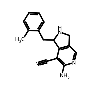 Cc1ccccc1CC1NCc2cnc(N)c(C#N)c21